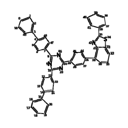 c1ccc(-c2ccc(-c3nc(-c4ccc(-c5ccccc5)cc4)nc(-c4ccc(-c5cccc6sc(-c7ccccc7)nc56)cc4)n3)cc2)cc1